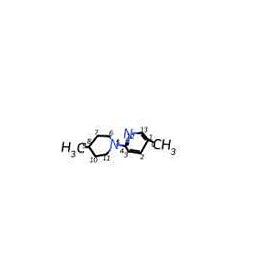 Cc1ccc(N2CCC(C)CC2)nc1